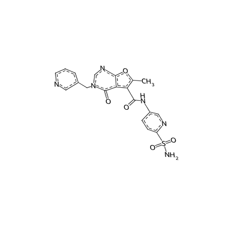 Cc1oc2ncn(Cc3cccnc3)c(=O)c2c1C(=O)Nc1ccc(S(N)(=O)=O)nc1